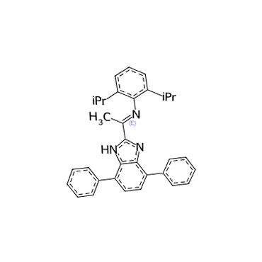 C/C(=N\c1c(C(C)C)cccc1C(C)C)c1nc2c(-c3ccccc3)ccc(-c3ccccc3)c2[nH]1